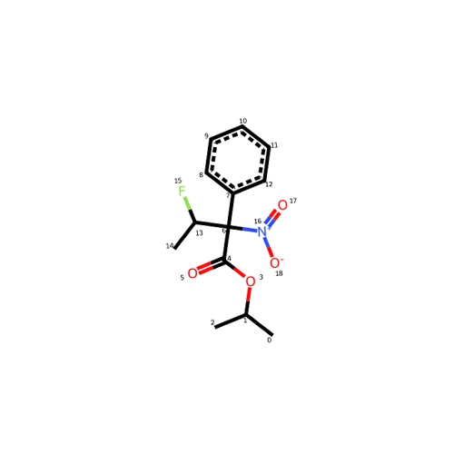 CC(C)OC(=O)C(c1ccccc1)(C(C)F)[N+](=O)[O-]